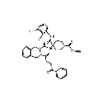 Cc1cccc(NC(=O)C2(NC(=O)[C@@H]3Cc4ccccc4CN3C(=O)CCC(=O)c3ccccc3)CCN(C(=O)OC(C)(C)C)CC2)c1Cl